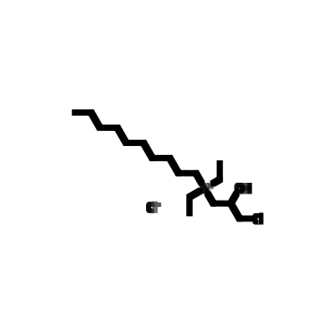 CCCCCCCCCC[N+](CC)(CC)CC(O)CCl.[Cl-]